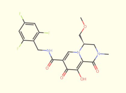 COC[C@H]1CN(C)C(=O)c2c(O)c(=O)c(C(=O)NCc3c(F)cc(F)cc3F)cn21